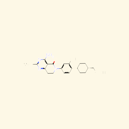 COc1nc(N)c2c(n1)CCN(c1ccc([C@H]3CC[C@H](CC(=O)O)CC3)c(C)c1)C2=O